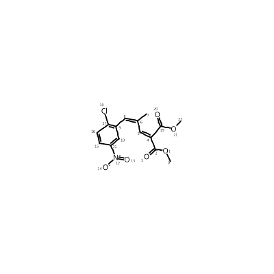 COC(=O)C(=CC(C)=Cc1cc([N+](=O)[O-])ccc1Cl)C(=O)OC